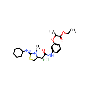 CCOC(=O)C(C)Oc1cccc(NC(=O)CC2CS/C(=N\C3CCCCC3)N2C)c1.Cl